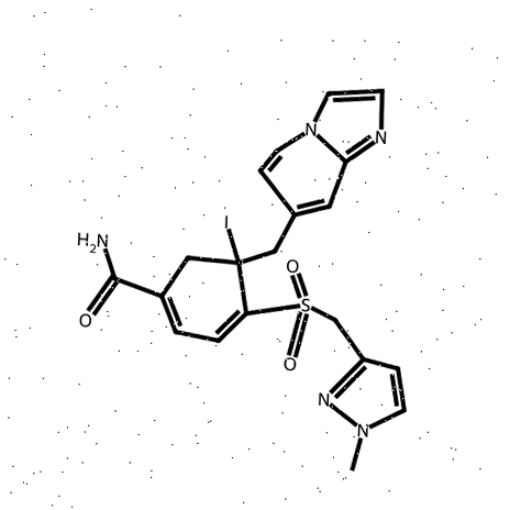 Cn1ccc(CS(=O)(=O)C2=CC=C(C(N)=O)CC2(I)Cc2ccn3ccnc3c2)n1